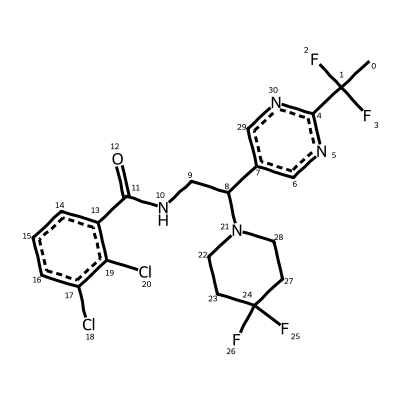 CC(F)(F)c1ncc(C(CNC(=O)c2cccc(Cl)c2Cl)N2CCC(F)(F)CC2)cn1